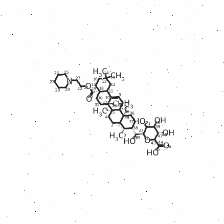 C[C@@H]1C2CC[C@]3(C)C(CC=C4C5CC(C)(C)CC[C@]5(C(=O)OCCN5CCCCC5)CC[C@]43C)[C@@]2(C)CC[C@@H]1C(O)[C@@H]1OC(C(=O)O)[C@@H](O)C(O)C1O